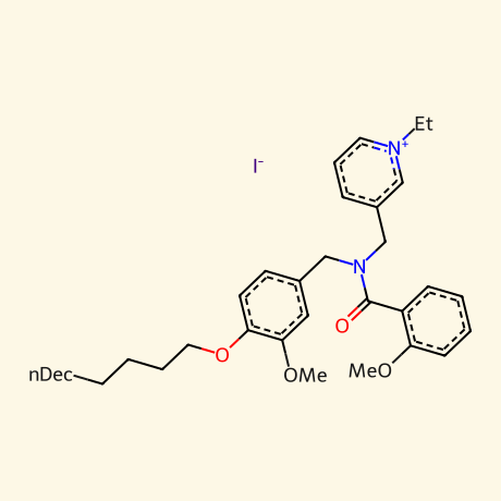 CCCCCCCCCCCCCCOc1ccc(CN(Cc2ccc[n+](CC)c2)C(=O)c2ccccc2OC)cc1OC.[I-]